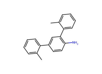 Cc1ccccc1-c1ccc(N)c(-c2ccccc2C)c1